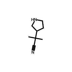 CC(C)(C#N)C1CCNC1